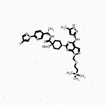 CO[C@]1(C(=O)N[C@@H](C)c2ccc(-n3cc(F)cn3)nc2)CC[C@H](c2nc(Nc3cc(C)[nH]n3)c3cnn(COCCS(C)(C)C)c3n2)CC1